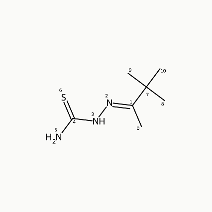 C/C(=N\NC(N)=S)C(C)(C)C